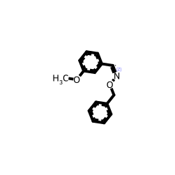 COc1cccc(/[C]=N\OCc2ccccc2)c1